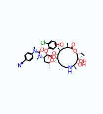 CC[C@H]1OC(=O)[C@H](C)[C@@H](O)[C@H](C)[C@@H](O[C@@H]2O[C@H](C)C[C@H](N(C)C(=O)N(C)c3ccc(C#N)cc3)[C@H]2Oc2ccccc2Cl)[C@](C)(O)C[C@@H](C)CN[C@H](C)[C@@H](O)[C@]1(C)O